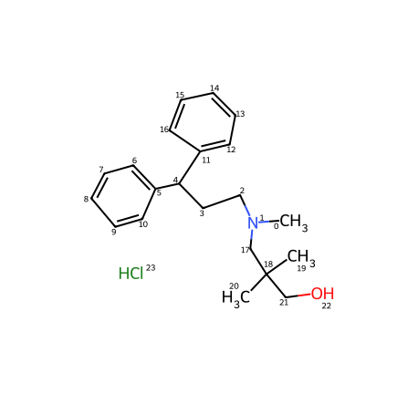 CN(CCC(c1ccccc1)c1ccccc1)CC(C)(C)CO.Cl